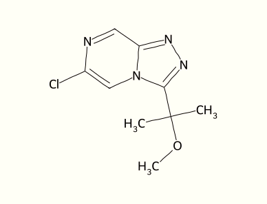 COC(C)(C)c1nnc2cnc(Cl)cn12